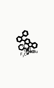 CCCCN(CC(F)(F)F)C(=O)C1c2ccccc2-c2ccc(-c3ccccc3-c3ccccc3)c(N3CCCCC3NC=O)c21